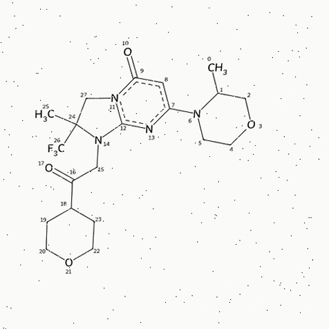 CC1COCCN1c1cc(=O)n2c(n1)N(CC(=O)C1CCOCC1)C(C)(C(F)(F)F)C2